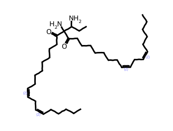 CCCCC/C=C\C/C=C\CCCCCCCC(=O)C(N)(C(=O)CCCCCCC/C=C\C/C=C\CCCCC)C(N)CC